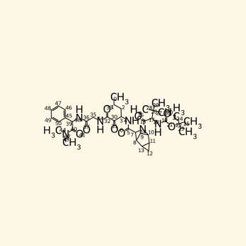 CCCC(NC(=O)C1C2CC(C3CC32)N1C(=O)C(NC(=O)OC(C)(C)C)C(C)(C)C)C(=O)C(=O)NCC(=O)N[C@@H](C(=O)N(C)C)c1ccccc1